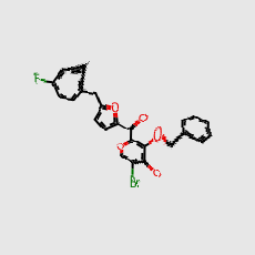 O=C(c1ccc(Cc2ccc(F)cc2)o1)c1occ(Br)c(=O)c1OCc1ccccc1